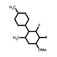 COC1CC(C)C(C2CCC(C)CC2)C(F)C1F